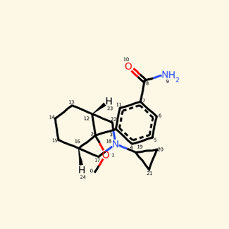 COC1(c2cccc(C(N)=O)c2)[C@@H]2CCC[C@H]1CN(C1CC1)C2